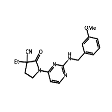 CCC1(C#N)CCN(c2ccnc(NCc3cccc(OC)c3)n2)C1=O